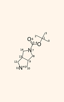 CC(C)(C)OC(=O)N1CC2C=[N+]CC2C1